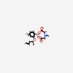 C=CC[C@H](C)Oc1cc(F)ccc1B1OC(=O)CN(C)CC(=O)O1